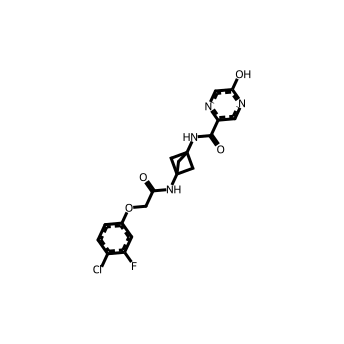 O=C(COc1ccc(Cl)c(F)c1)NC12CC(NC(=O)c3cnc(O)cn3)(C1)C2